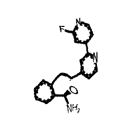 NC(=O)c1ccccc1C[CH]c1ccnc(-c2ccnc(F)c2)c1